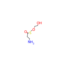 NCCC(=O)SCOCCO